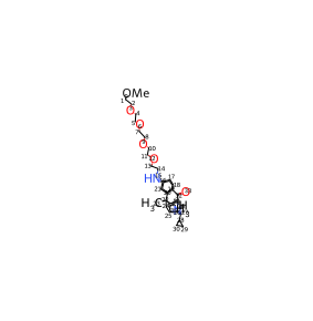 COCCOCCOCCOCCOCCNc1ccc2c(c1)C1(C)CCN(CC3CC3)[C@H](C2=O)C1C